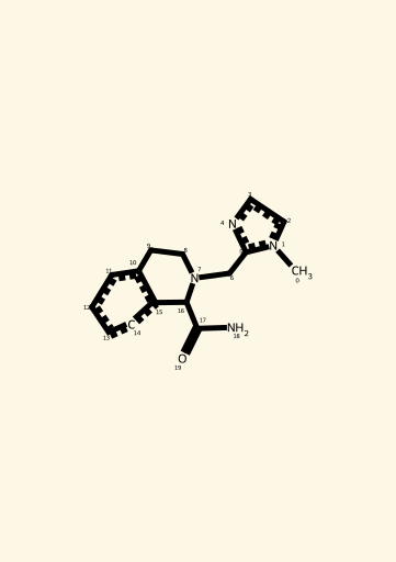 Cn1ccnc1CN1CCc2c[c]ccc2C1C(N)=O